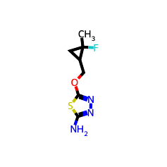 CC1(F)CC1COc1nnc(N)s1